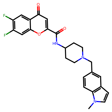 Cn1ccc2cc(CN3CCC(NC(=O)c4cc(=O)c5cc(F)c(F)cc5o4)CC3)ccc21